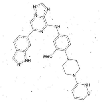 COc1cc(Nc2nc(-c3ccc4cn[nH]c4c3)cn3ncnc23)ccc1N1CCN(C2=CC=CON2)CC1